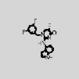 O=c1nc(Nc2cccc3[nH]ccc23)n(Cc2cc(F)cc(F)c2)cc1F